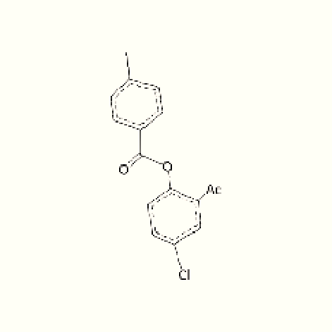 CC(=O)c1cc(Cl)ccc1OC(=O)c1ccc(C)cc1